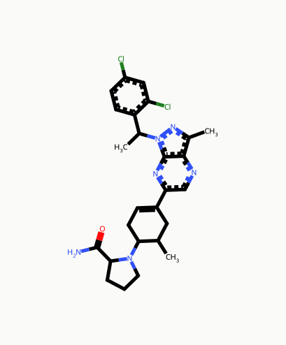 Cc1nn(C(C)c2ccc(Cl)cc2Cl)c2nc(C3=CCC(N4CCCC4C(N)=O)C(C)C3)cnc12